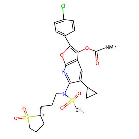 CNC(=O)Oc1c(-c2ccc(Cl)cc2)oc2nc(N(CCC[C@@H]3CCCS3(=O)=O)S(C)(=O)=O)c(C3CC3)cc12